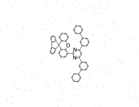 c1ccc(-c2cccc(-c3cc(-c4cccc(-c5ccccc5)c4)nc(-c4cccc5c4Oc4ccccc4C54c5ccccc5-c5ccccc54)n3)c2)cc1